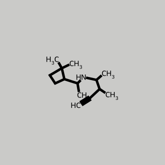 C#CC(C)C(C)NC(C)C1CCC1(C)C